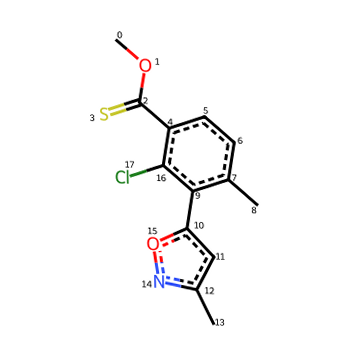 COC(=S)c1ccc(C)c(-c2cc(C)no2)c1Cl